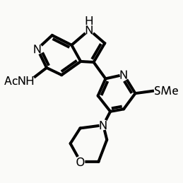 CSc1cc(N2CCOCC2)cc(-c2c[nH]c3cnc(NC(C)=O)cc23)n1